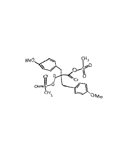 COc1ccc(CC(Cc2ccc(OC)cc2)(C(=O)OS(C)(=O)=O)C(=O)OS(C)(=O)=O)cc1